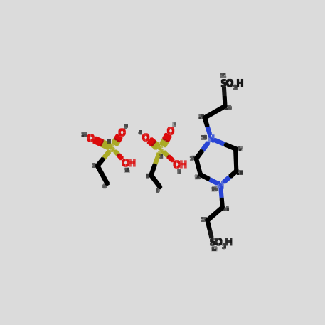 CCS(=O)(=O)O.CCS(=O)(=O)O.O=S(=O)(O)CCN1CCN(CCS(=O)(=O)O)CC1